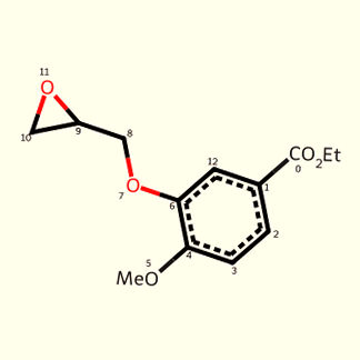 CCOC(=O)c1ccc(OC)c(OCC2CO2)c1